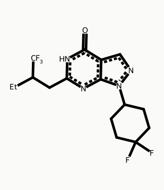 CCC(Cc1nc2c(cnn2C2CCC(F)(F)CC2)c(=O)[nH]1)C(F)(F)F